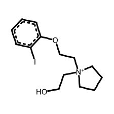 OCC[N+]1(CCOc2ccccc2I)CCCC1